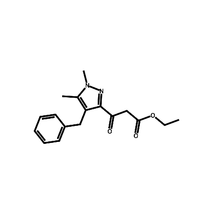 CCOC(=O)CC(=O)c1nn(C)c(C)c1Cc1ccccc1